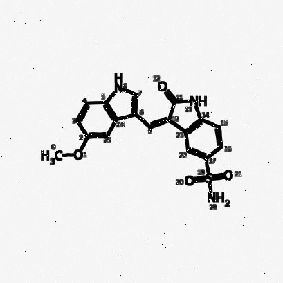 COc1ccc2[nH]cc(C=C3C(=O)Nc4ccc(S(N)(=O)=O)cc43)c2c1